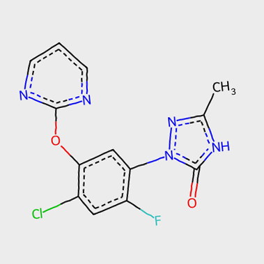 Cc1nn(-c2cc(Oc3ncccn3)c(Cl)cc2F)c(=O)[nH]1